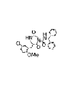 COc1ccc(Cl)cc1CC1CNC(=O)CN(C(=O)NC(c2ccccc2)c2ccccc2)C1=O